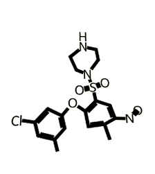 Cc1cc(Cl)cc(Oc2cc(C)c(N=O)cc2S(=O)(=O)N2CCNCC2)c1